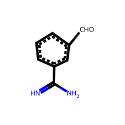 N=C(N)c1cccc(C=O)c1